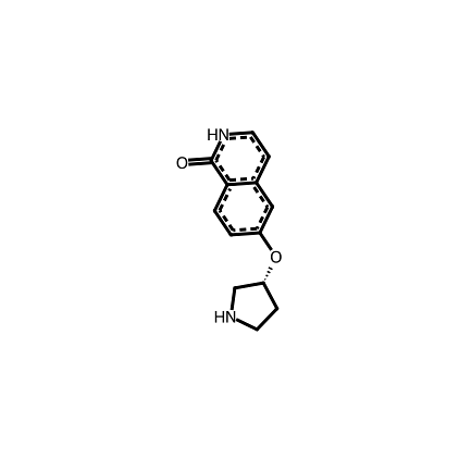 O=c1[nH]ccc2cc(O[C@@H]3CCNC3)ccc12